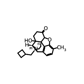 Cc1ccc2c3c1OC1C(=O)CCC4(O)[C@@H](C2)N(CC2CCC2)CC[C@]314